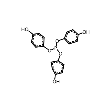 Oc1ccc(OP(Oc2ccc(O)cc2)Oc2ccc(O)cc2)cc1